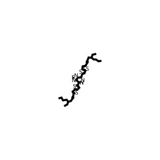 CCCCC(CC)CC#Cc1cc2sc(-c3nnc(-c4cc5sc(C#CCC(CC)CCCC)cc5s4)c4nsnc34)cc2s1